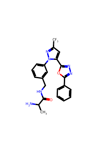 CC(N)C(=O)NCc1cccc(-n2nc(C(F)(F)F)cc2-c2nnc(-c3ccccc3)o2)c1